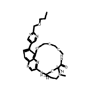 CCCOCc1ncc(-c2ccc3ncc4nc3c2OCCCCCNC(=O)[C@@H]2C[C@H](CCN2C)N4)cn1